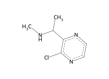 CNC(C)c1nccnc1Cl